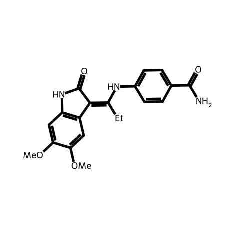 CC/C(Nc1ccc(C(N)=O)cc1)=C1/C(=O)Nc2cc(OC)c(OC)cc21